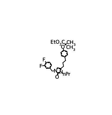 CCCn1c(CCCc2ccc(OC(C)(C)C(=O)OCC)cc2)cn(Cc2ccc(F)c(F)c2)c1=O